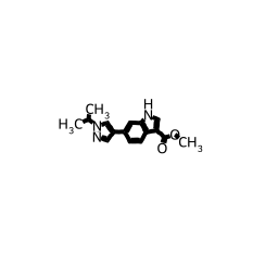 COC(=O)c1c[nH]c2cc(-c3cnn(C(C)C)c3)ccc12